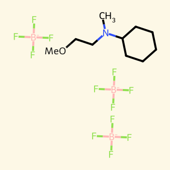 COCCN(C)C1CCCCC1.F[B-](F)(F)F.F[B-](F)(F)F.F[B-](F)(F)F